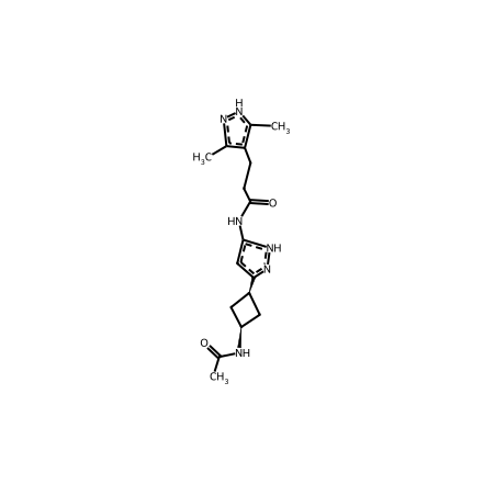 CC(=O)N[C@H]1C[C@@H](c2cc(NC(=O)CCc3c(C)n[nH]c3C)[nH]n2)C1